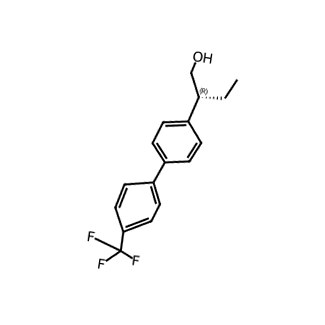 CC[C@@H](CO)c1ccc(-c2ccc(C(F)(F)F)cc2)cc1